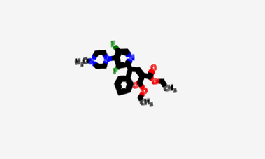 CCOC(=O)C(=CC(c1ccccc1)c1ncc(F)c(N2CCN(C)CC2)c1F)C(=O)OCC